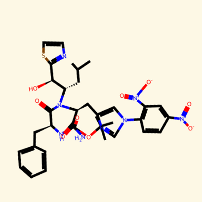 CC(C)C[C@@H]([C@@H](O)c1nccs1)N(C(=O)[C@H](Cc1ccccc1)NC(=O)OC(C)(C)C)[C@@H](Cc1cn(-c2ccc([N+](=O)[O-])cc2[N+](=O)[O-])cn1)C(N)=O